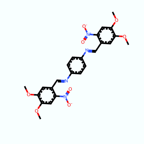 COc1cc(C=Nc2ccc(N=Cc3cc(OC)c(OC)cc3[N+](=O)[O-])cc2)c([N+](=O)[O-])cc1OC